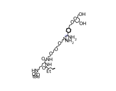 C=CCC(CC)C(=O)NC(CCCCNC(=O)OC(C)(C)C)C(=O)NCCOCCOCCOCCN(N)/C=C(\N)c1ccc(CCOC2CC(O)CC(CO)O2)cc1